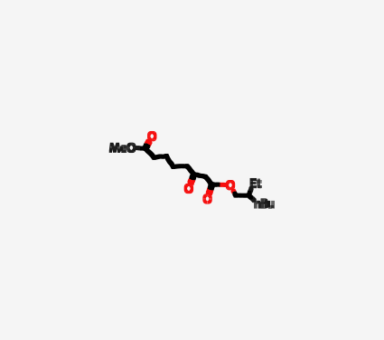 CCCCC(CC)COC(=O)CC(=O)CCCCC(=O)OC